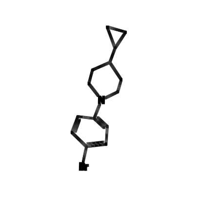 Brc1ccc(N2CCC(C3CC3)CC2)cc1